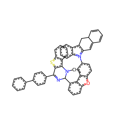 CN1c2c(sc3ccccc23)C(c2ccc(-c3ccccc3)cc2)=NC1c1cccc2oc3ccc(-n4c5c(c6ccccc64)CC4C=CC=CC4=C5)cc3c12